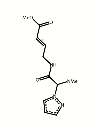 CNC(C(=O)NC/C=C/C(=O)OC)n1cccn1